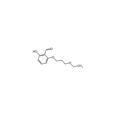 CCOCCCOc1cccc(O)c1C=O